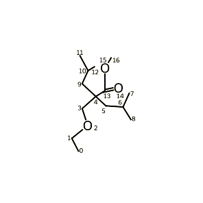 CCOCC(CC(C)C)(CC(C)C)C(=O)OC